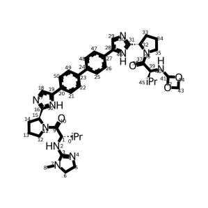 CC(C)[C@H](NC1=NCCN1C)C(=O)N1CCC[C@H]1c1ncc(-c2ccc(-c3ccc(-c4cnc([C@@H]5CCCN5C(=O)[C@@H](NC5OCO5)C(C)C)[nH]4)cc3)cc2)[nH]1